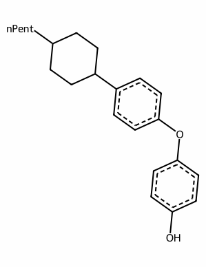 CCCCCC1CCC(c2ccc(Oc3ccc(O)cc3)cc2)CC1